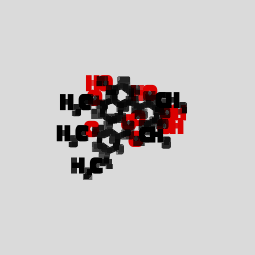 C=Cc1cc(OC)c2c(c1)c(=O)oc1c2cc(OC)c2c(O)ccc(C3OC(C)C(O)C(C)(O)C3O)c21